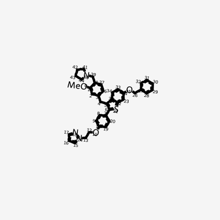 COc1cc(Cc2c(-c3ccc(OCCn4cccn4)cc3)sc3cc(OCc4ccccc4)ccc23)ccc1CN1CCCC1